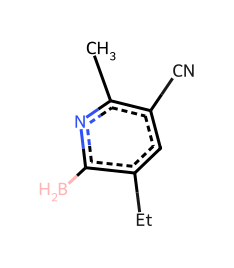 Bc1nc(C)c(C#N)cc1CC